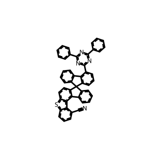 N#Cc1cccc2sc3ccc4c(c3c12)-c1ccccc1C41c2ccccc2-c2c(-c3nc(-c4ccccc4)nc(-c4ccccc4)n3)cccc21